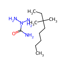 CCCCCC(C)(C)CC.NC(=O)N(N)N